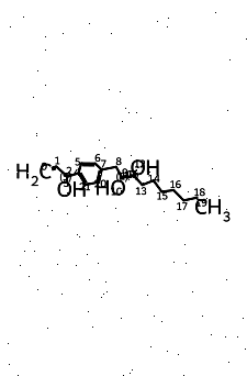 C=C[C@H](O)c1ccc(C[C@@H](O)[C@H](O)CCCCCCC)cc1